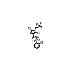 O=C(NS(=O)(=O)c1ccccc1Cl)c1nc(Cl)n(CCC(F)(F)F)c1Cl